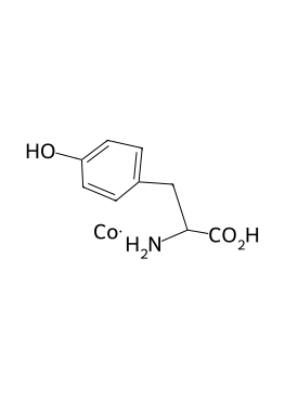 NC(Cc1ccc(O)cc1)C(=O)O.[Co]